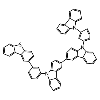 c1cc(-c2ccc3sc4ccccc4c3c2)cc(-n2c3ccccc3c3cc(-c4ccc5c(c4)c4ccccc4n5-c4cccc(-n5c6ccccc6c6ccccc65)c4)ccc32)c1